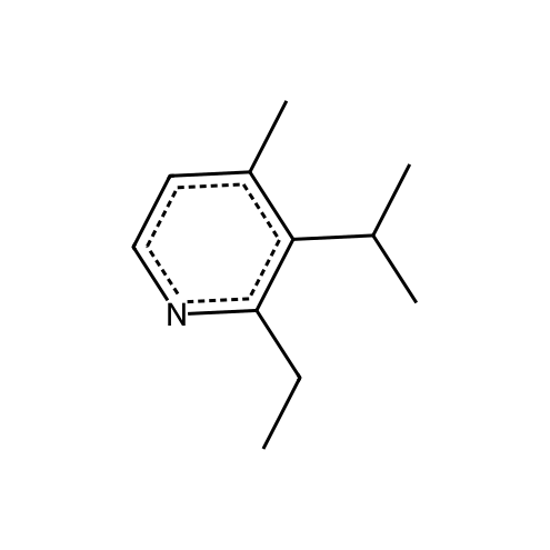 CCc1nccc(C)c1C(C)C